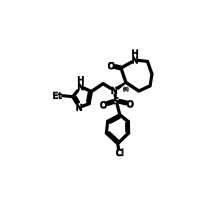 CCc1ncc(CN([C@@H]2CCCCNC2=O)S(=O)(=O)c2ccc(Cl)cc2)[nH]1